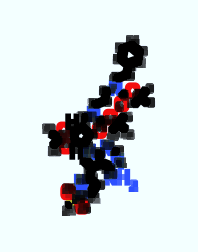 CC(C)(C)OC(=O)N(CCCN(C[C@H]1C[C@@H](n2cc(-c3ccn(S(C)(=O)=O)n3)c3c(N)ncnc32)[C@@H]2OC(C)(C)O[C@H]12)C(=O)OC(C)(C)C)CCc1ccccc1